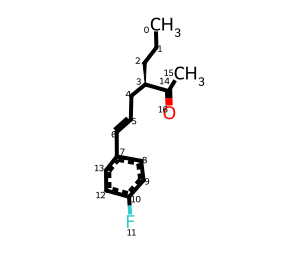 CCC[C@H](C/C=C/c1ccc(F)cc1)C(C)=O